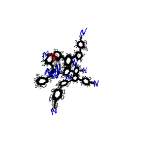 N#Cc1ccc(-c2ccc3c(c2)c2cc(-c4ccc(C#N)cc4)ccc2n3-c2cc(C#N)ccc2-c2ccc(-c3nc(-c4ccccc4)nc(-c4ccccc4)n3)cc2-n2c3ccc(-c4ccc(C#N)cc4)cc3c3cc(-c4ccc(C#N)cc4)ccc32)cc1